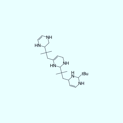 CC(C)(C)C1NC=CC(CC(C)(C)C2NCC=C(CC(C)(C)C3CNC=CN3)N2)N1